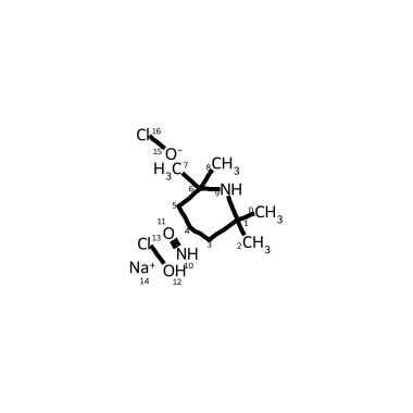 CC1(C)CCCC(C)(C)N1.N=O.OCl.[Na+].[O-]Cl